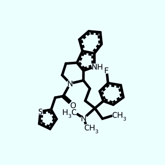 CCC(CCC1c2[nH]c3ccccc3c2CCN1C(=O)Cc1cccs1)(c1cccc(F)c1)N(C)C